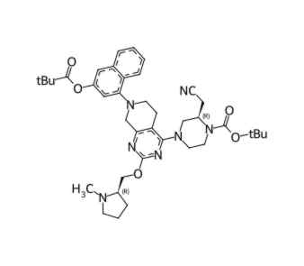 CN1CCC[C@@H]1COc1nc2c(c(N3CCN(C(=O)OC(C)(C)C)[C@H](CC#N)C3)n1)CCN(c1cc(OC(=O)C(C)(C)C)cc3ccccc13)C2